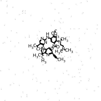 CC#Cc1ccc2c(n1)C(C)(C)CN2c1nc(Nc2cc([N+](=O)[O-])c(N(C)CCN(C)C)cc2OC)ncc1C(C)C